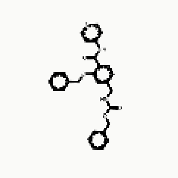 O=C(NCc1ccc(C(=O)Nc2ccncc2)c(OCc2ccccc2)c1)OCc1ccccc1